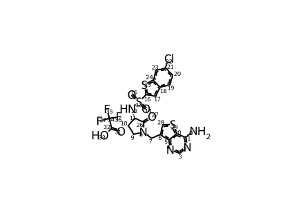 Nc1ncnc2c(CN3CC[C@H](NS(=O)(=O)c4cc5ccc(Cl)cc5s4)C3=O)csc12.O=C(O)C(F)(F)F